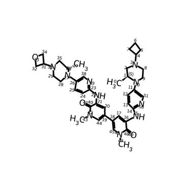 C[C@H]1CN(C2CCC2)CCN1c1ccc(Nc2cc(-c3cc(Nc4ccc(N5CCN(C6COC6)C[C@@H]5C)cn4)c(=O)n(C)c3)cn(C)c2=O)nc1